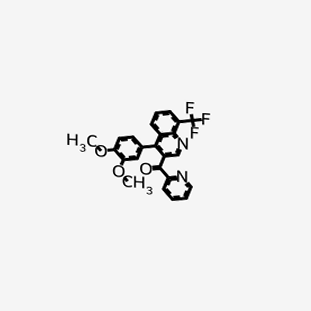 COc1ccc(-c2c(C(=O)c3ccccn3)cnc3c(C(F)(F)F)cccc23)cc1OC